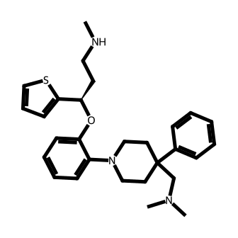 CNCC[C@@H](Oc1ccccc1N1CCC(CN(C)C)(c2ccccc2)CC1)c1cccs1